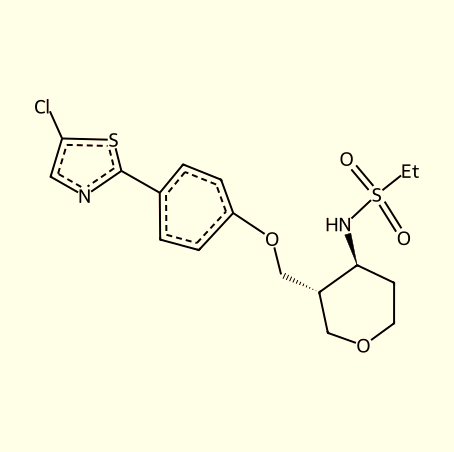 CCS(=O)(=O)N[C@H]1CCOC[C@@H]1COc1ccc(-c2ncc(Cl)s2)cc1